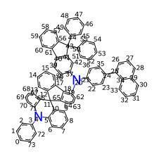 c1ccc(N2c3ccccc3C3(c4ccccc4-c4c(N(c5ccc(-c6cccc7ccccc67)cc5)c5ccc6c(c5)C(c5ccccc5)(c5ccccc5)c5ccccc5-6)cccc43)c3ccccc32)cc1